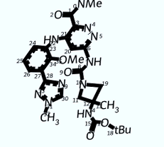 CNC(=O)c1nnc(NC(=O)N2CC(C)(NC(=O)OC(C)(C)C)C2)cc1Nc1cccc(-c2ncn(C)n2)c1OC